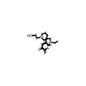 CCN1CC2(CCCN(CCO)C2)c2cc(F)c(F)cc21